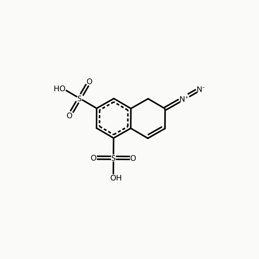 [N-]=[N+]=C1C=Cc2c(cc(S(=O)(=O)O)cc2S(=O)(=O)O)C1